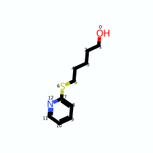 OCCCCCSc1ccccn1